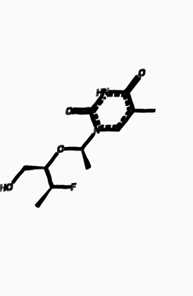 Cc1cn([C@@H](C)O[C@H](CO)[C@H](C)F)c(=O)[nH]c1=O